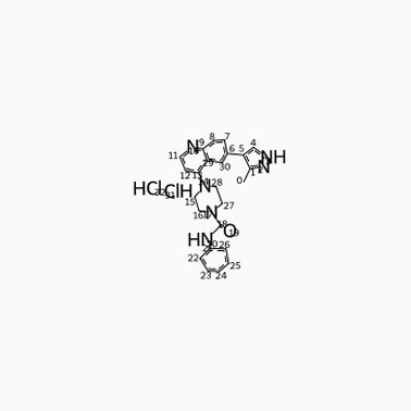 Cc1n[nH]cc1-c1ccc2nccc(N3CCN(C(=O)Nc4ccccc4)CC3)c2c1.Cl.Cl